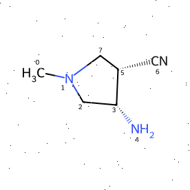 CN1C[C@@H](N)[C@@H](C#N)C1